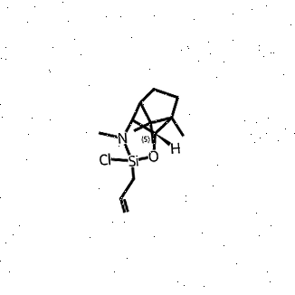 C=CC[Si]1(Cl)O[C@@H]2C(C3CCC2(C)C3(C)C)N1C